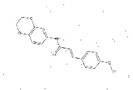 CC(C)Oc1ccc(/C=C/C(=O)Nc2ccc3c(c2)OCCO3)cc1